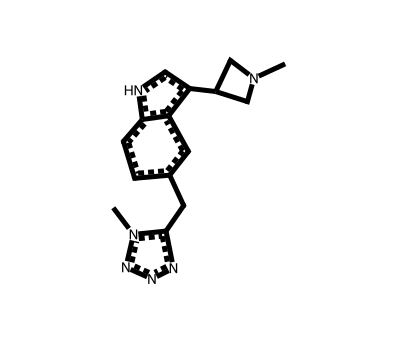 CN1CC(c2c[nH]c3ccc(Cc4nnnn4C)cc23)C1